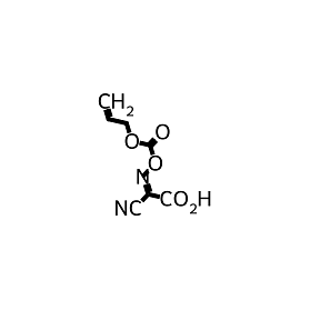 C=CCOC(=O)ON=C(C#N)C(=O)O